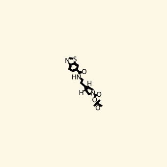 CC1(OC(=O)N2C[C@@H]3C(CCNC(=O)c4ccc5ncsc5c4)[C@@H]3C2)COC1